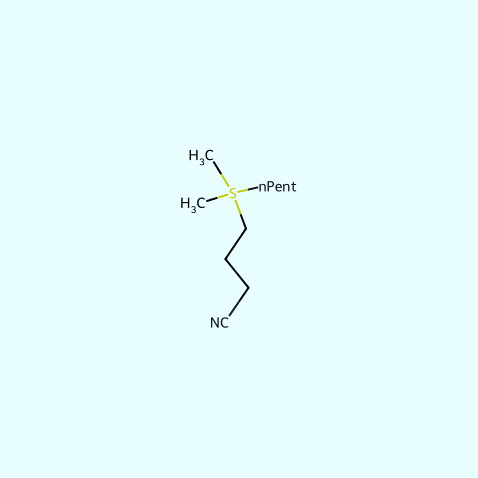 CCCCCS(C)(C)CCCC#N